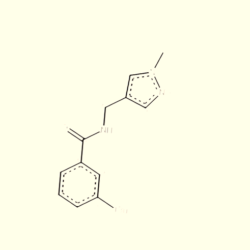 Cn1cc(CNC(=O)c2cccc(C(C)(C)C)c2)cn1